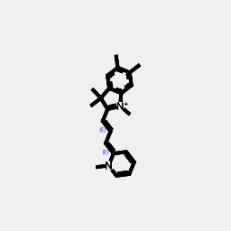 Cc1cc2c(cc1C)C(C)(C)C(/C=C/C=C1\C=CC=CN1C)=[N+]2C